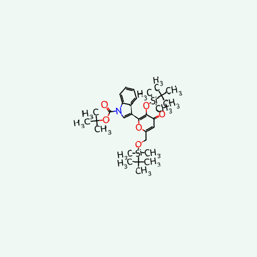 CC(C)(C)OC(=O)n1cc(-c2oc(CO[Si](C)(C)C(C)(C)C)cc(=O)c2O[Si](C)(C)C(C)(C)C)c2ccccc21